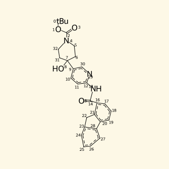 CC(C)(C)OC(=O)N1CCC(O)(c2ccc(NC(=O)c3cccc4c3Cc3ccccc3-4)nc2)CC1